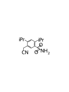 CC(C)c1cc(C(C)C)c(S(N)(=O)=O)cc1CC#N